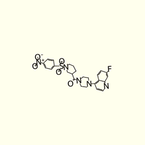 O=C(C1CCCN(S(=O)(=O)c2ccc([N+](=O)[O-])cc2)C1)N1CCN(c2ccnc3cc(F)ccc23)CC1